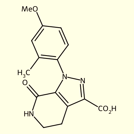 COc1ccc(-n2nc(C(=O)O)c3c2C(=O)NCC3)c(C)c1